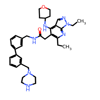 CCc1nc2c(cnn2CC)c(NC2CCOCC2)c1CC(=O)NCc1cccc(-c2cccc(CN3CCNCC3)c2)c1